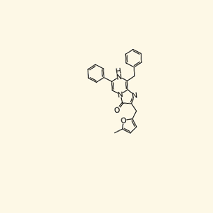 Cc1ccc(Cc2nc3c(Cc4ccccc4)[nH]c(-c4ccccc4)cn-3c2=O)o1